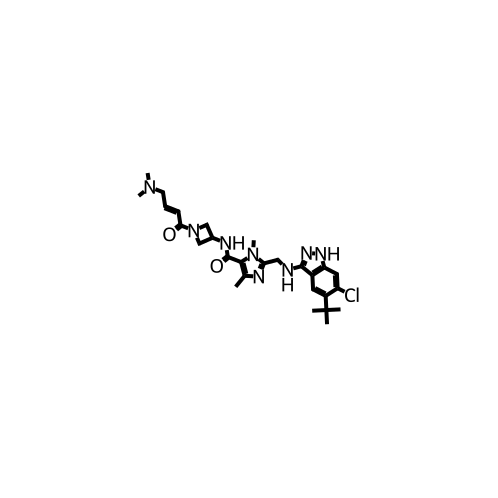 Cc1nc(CNc2n[nH]c3cc(Cl)c(C(C)(C)C)cc23)n(C)c1C(=O)NC1CN(C(=O)C=CCN(C)C)C1